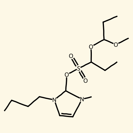 CCCCN1C=CN(C)C1OS(=O)(=O)C(CC)OC(CC)OC